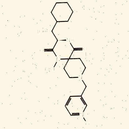 CCCCN1C(=O)[C@@H]([C@H](O)C2CCCCC2)NC(=O)C12CCN(Cc1ccc[n+]([O-])c1)CC2.Cl